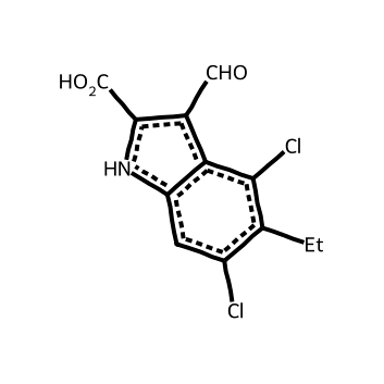 CCc1c(Cl)cc2[nH]c(C(=O)O)c(C=O)c2c1Cl